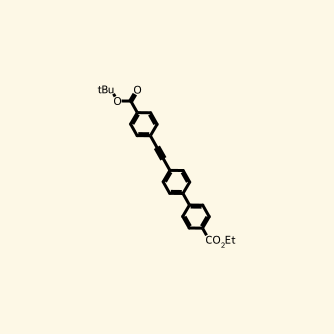 CCOC(=O)c1ccc(-c2ccc(C#Cc3ccc(C(=O)OC(C)(C)C)cc3)cc2)cc1